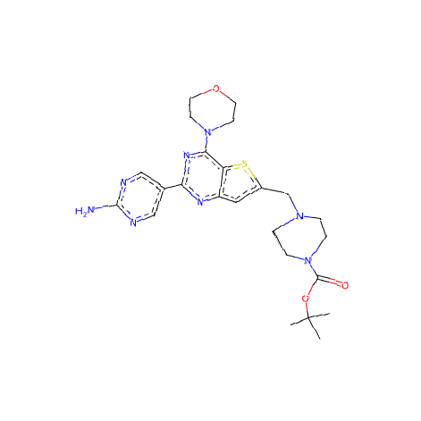 CC(C)(C)OC(=O)N1CCN(Cc2cc3nc(-c4cnc(N)nc4)nc(N4CCOCC4)c3s2)CC1